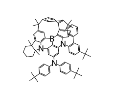 CC(C)(C)c1ccc(N(c2ccc(C(C)(C)C)cc2)c2cc3c4c(c2)N2c5c6cc(cc5C5(C)CCCCC25C)C(C)(C)c2ccc5c(c2)C(C)(C)c2ccc(c(c2-5)B64)N3c2ccc(C(C)(C)C)cc2-c2ccccc2)cc1